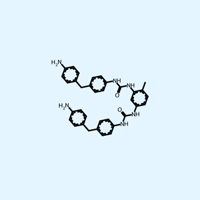 Cc1ccc(NC(=O)Nc2ccc(Cc3ccc(N)cc3)cc2)cc1NC(=O)Nc1ccc(Cc2ccc(N)cc2)cc1